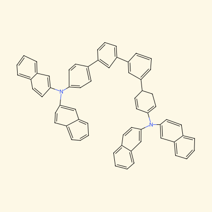 C1=CC(c2cccc(-c3cccc(-c4ccc(N(c5ccc6ccccc6c5)c5ccc6ccccc6c5)cc4)c3)c2)CC=C1N(c1ccc2ccccc2c1)c1ccc2ccccc2c1